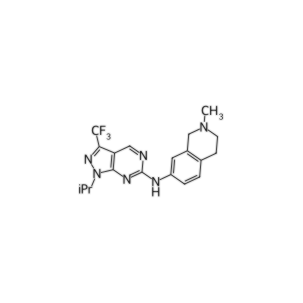 CC(C)n1nc(C(F)(F)F)c2cnc(Nc3ccc4c(c3)CN(C)CC4)nc21